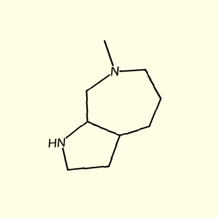 CN1CCCC2CCNC2C1